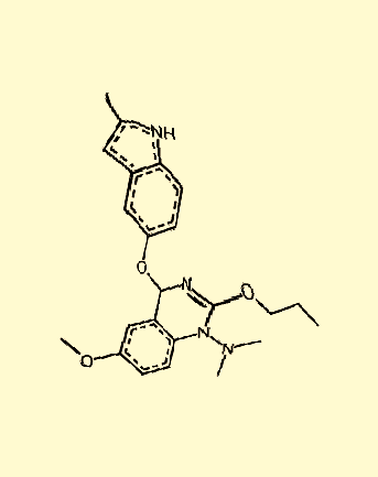 CCCOC1=NC(Oc2ccc3[nH]c(C)cc3c2)c2cc(OC)ccc2N1N(C)C